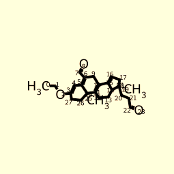 CCOC1=CC2=C(C=O)CC3=C(CCC4C3=CC[C@@]4(C)CCC=O)C2(C)CC1